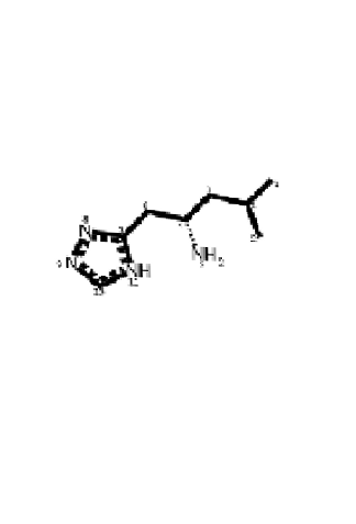 CC(C)C[C@H](N)Cc1nnc[nH]1